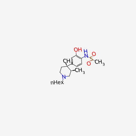 CCCCCCN1CC[C@](C)(c2ccc(NS(C)(=O)=O)c(O)c2)[C@@H](C)C1